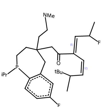 CNCCC1(CC(=O)C(/C=C\C(C)C(C)(C)C)=C/C(C)F)CCP(C(C)C)c2ccc(F)cc2C1